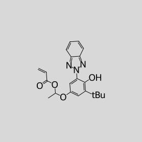 C=CC(=O)OC(C)Oc1cc(-n2nc3ccccc3n2)c(O)c(C(C)(C)C)c1